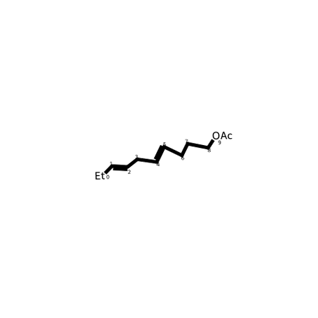 CCC=CCC=CCCCOC(C)=O